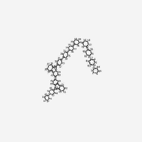 c1ccc(-c2ccc(-c3ccc(-c4cccc(-c5cccc(-c6ccc(-c7ccc(-c8ccc(-n9c%10ccccc%10c%10cc(-c%11ccc%12c(c%11)c%11ccccc%11n%12-c%11ccc(-c%12ccccc%12)cc%11)ccc%109)cc8)cc7)cc6)c5)c4)cc3)cc2)cc1